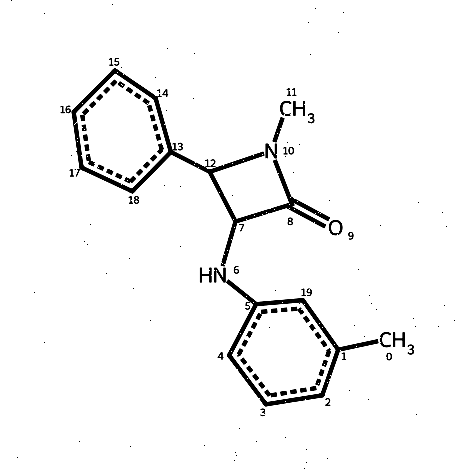 Cc1cccc(NC2C(=O)N(C)C2c2ccccc2)c1